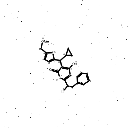 CCC(Cc1ccccc1)c1cc(O)c(C(c2ccc(COC)s2)C2CC2)c(=O)o1